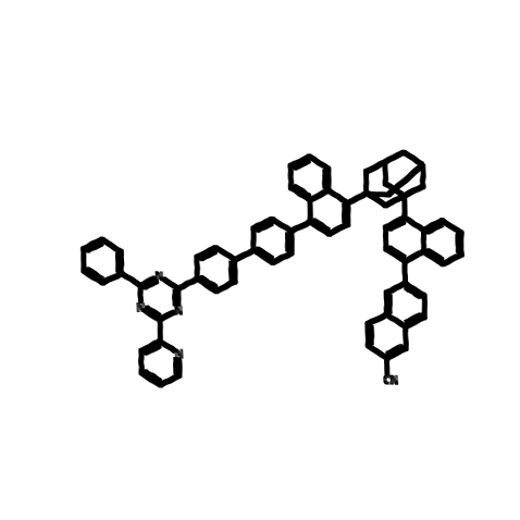 N#Cc1ccc2cc(-c3ccc(C45CC6CC(CC(c7ccc(-c8ccc(-c9ccc(-c%10nc(-c%11ccccc%11)nc(-c%11ccccn%11)n%10)cc9)cc8)c8ccccc78)(C6)C4)C5)c4ccccc34)ccc2c1